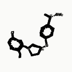 CC(=O)N[C@@H](C)c1ccc(O[C@@H]2CCN(c3cc(Cl)ccc3C)C2)cc1